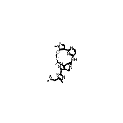 Cc1nc(-c2nn3c4cc(ncc24)Nc2ccnc(n2)-c2cnn(C)c2OCC[C@@H]3C)sc1CN(C)C